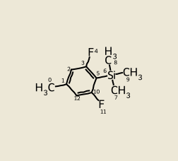 Cc1cc(F)c([Si](C)(C)C)c(F)c1